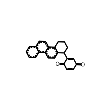 O=C1C=CC(=O)C(C2CCCc3c2ccc2c3ccc3ccccc32)=C1